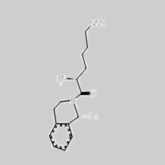 CNCCCC[C@H](N)C(=O)N1CCc2ccccc2[C@H]1C(C)=O